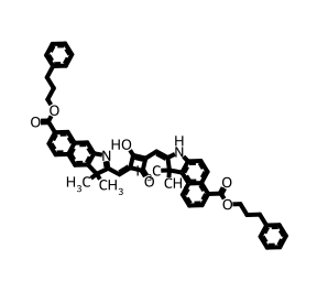 CC1(C)C(/C=C2/C(=O)C(/C=C3/Nc4ccc5c(C(=O)OCCCc6ccccc6)cccc5c4C3(C)C)=C2O)=Nc2cc3cc(C(=O)OCCCc4ccccc4)ccc3cc21